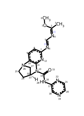 CO/C(C)=N\C=N\c1ccc2c(n1)N(C(=O)Nc1cnccn1)[C@H]1CCN2C1